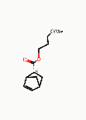 COCCCOC(=O)[C@@H]1CC2C=CC1C2